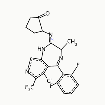 CC1N=C(c2c(F)cccc2F)c2c(cnc(C(F)(F)F)c2Cl)N/C1=N\C1CCCC1=O